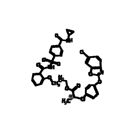 CCOC(=O)[C@@H](C)Oc1ccc(Oc2nc3ccc(Cl)cc3o2)cc1.COc1ccccc1C(=O)NS(=O)(=O)c1ccc(C(=O)NC2CC2)cc1